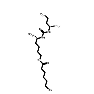 CCC(C)CCCCCC(=O)NCCCC[C@H](NC(=O)N[C@@H](CCC(=O)O)C(=O)O)C(=O)O